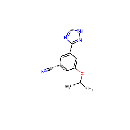 CC(C)Oc1cc(C#N)cc(-c2nc[nH]n2)c1